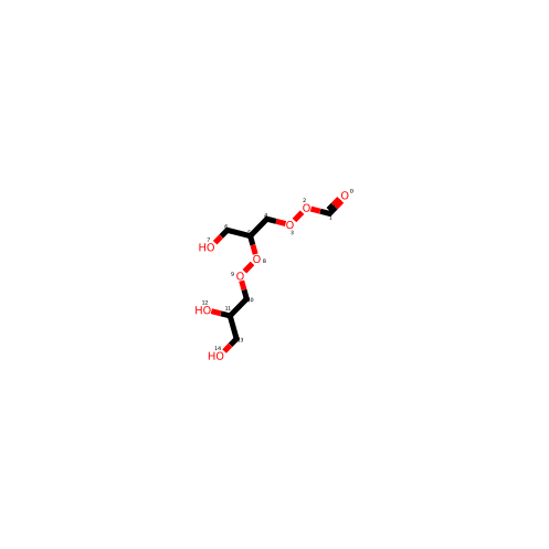 O=COOCC(CO)OOCC(O)CO